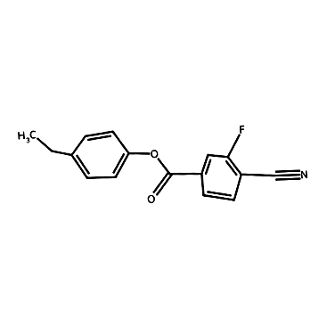 CCc1ccc(OC(=O)c2ccc(C#N)c(F)c2)cc1